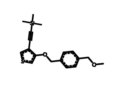 COCc1ccc(COc2cscc2C#C[Si](C)(C)C)cc1